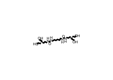 O=C(NCCCCCCNC(=O)NCCCN(CCO)CCO)NCCCN(CCO)CCO